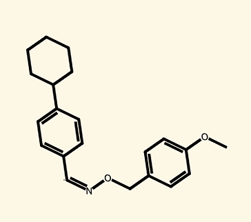 COc1ccc(CO/N=[C]\c2ccc(C3CCCCC3)cc2)cc1